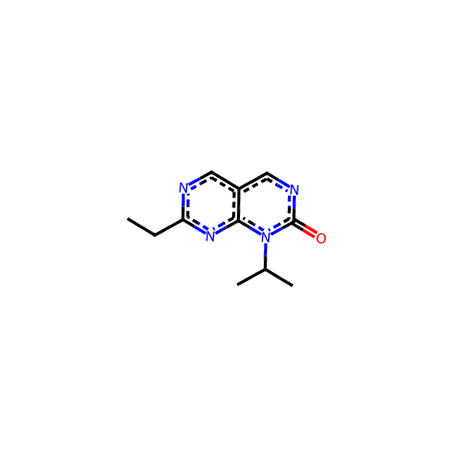 CCc1ncc2cnc(=O)n(C(C)C)c2n1